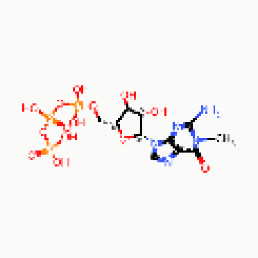 Cn1c(N)nc2c(ncn2[C@@H]2O[C@H](CO[PH](O)(O)OP(=O)(O)OP(=O)(O)O)C(O)[C@@H]2O)c1=O